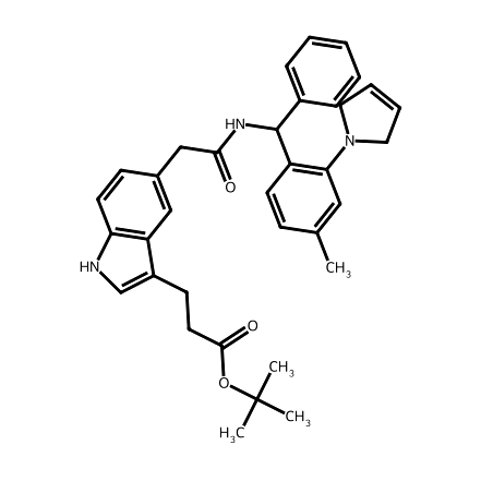 Cc1ccc(C(NC(=O)Cc2ccc3[nH]cc(CCC(=O)OC(C)(C)C)c3c2)c2ccccc2)c(N2CC=CC2)c1